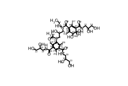 CCNN(CC(O)CN(C(C)=O)c1c(I)c(C(=O)NCC(O)CO)c(I)c(C(=O)NCC(O)CO)c1I)C(=O)C1=C(I)C(O)C(O)(I)C(C(=O)NCC(O)CO)=C1I